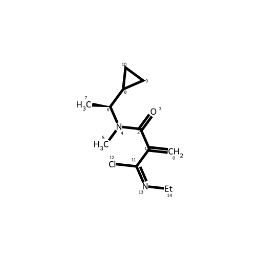 C=C(C(=O)N(C)[C@@H](C)C1CC1)/C(Cl)=N\CC